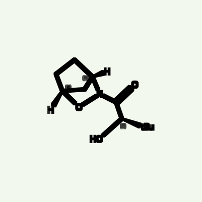 CC(C)(C)[C@@H](O)C(=O)N1O[C@@H]2CC[C@H]1C2